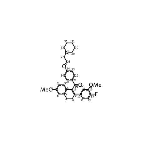 COc1ccc2c(c1)CCC(c1ccc(F)c(OC)c1)=C2C(=O)c1ccc(OCCN2CCCCC2)cc1